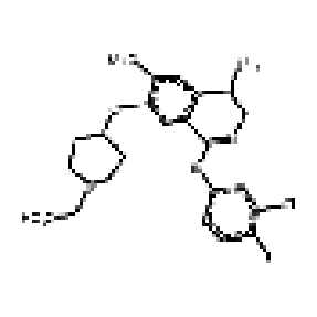 COc1cc2c(cc1OC1CCN(CC(=O)O)CC1)C(Nc1ccc(F)c(Cl)c1)=NCN2C